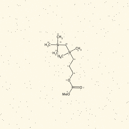 COC(=O)OCCC[Si](C)(C)C[Si](C)(C)C